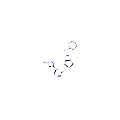 Cn1cc(-c2cncc(Oc3ccc4nc(NC5CCCCC5)sc4c3)n2)cn1